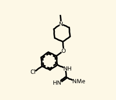 CNC(=N)Nc1cc(Cl)ccc1OC1CCN(C)CC1